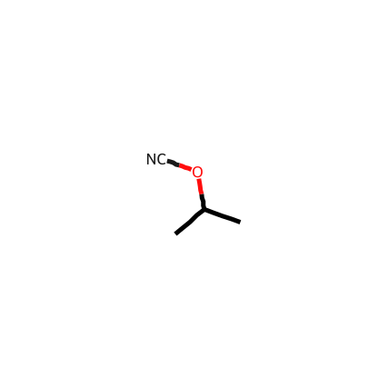 CC(C)OC#N